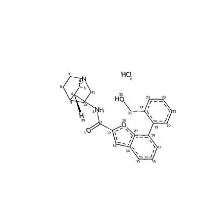 Cl.O=C(N[C@H]1CN2CCC1CC2)c1cc2cccc(-c3ccccc3CO)c2o1